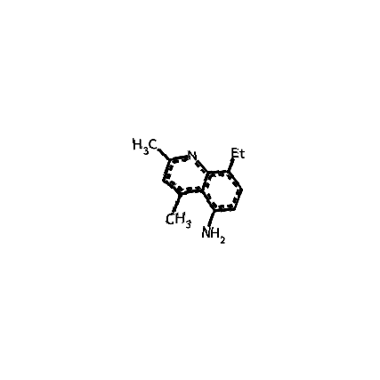 CCc1ccc(N)c2c(C)cc(C)nc12